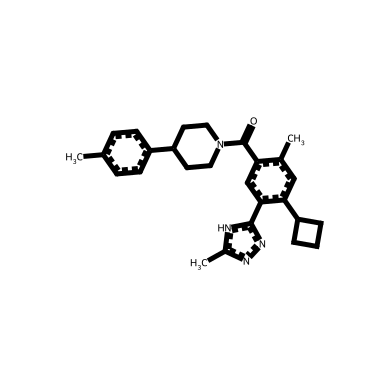 Cc1ccc(C2CCN(C(=O)c3cc(-c4nnc(C)[nH]4)c(C4CCC4)cc3C)CC2)cc1